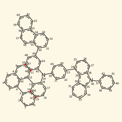 c1ccc(-c2cccc3cccc(-c4ccccc4N(c4ccc(-c5cccc6c5c5ccccc5n6-c5ccccc5)cc4)c4cccc(-c5cccc6c5ccc5ccccc56)c4)c23)cc1